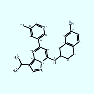 CC(C)c1cnn2c(NC3CCc4ccc(O)cc4C3)cc(-c3cncc(F)c3)nc12